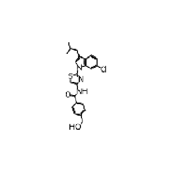 CC(C)Cc1cn(-c2nc(NC(=O)c3ccc(CO)cc3)cs2)c2cc(Cl)ccc12